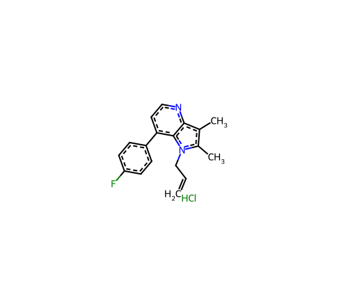 C=CCn1c(C)c(C)c2nccc(-c3ccc(F)cc3)c21.Cl